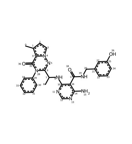 Cc1ccn2nc(C(C)Nc3ncnc(N)c3C(=O)NCc3cccc(O)c3)n(-c3ccccc3)c(=O)c12